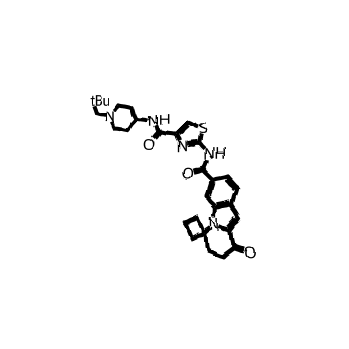 CC(C)(C)CN1CCC(NC(=O)c2csc(NC(=O)c3ccc4cc5n(c4c3)C3(CCC3)CCC5=O)n2)CC1